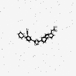 N#Cc1cc(-c2nc(-c3ccc4c(c3)cc3n4CCC3CC(=O)O)no2)ccc1C1CCCCC1